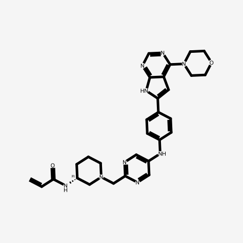 C=CC(=O)N[C@@H]1CCCN(Cc2ncc(Nc3ccc(-c4cc5c(N6CCOCC6)ncnc5[nH]4)cc3)cn2)C1